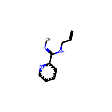 C=CCN/C(=N\C#N)c1ccccn1